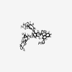 C[C@@]1(O)CCCN(c2nc(OCC3(CN4CCOCC4)CC3)nc3c2CN(C(=O)c2cc(O)cc4cccc(I)c24)C3)C1